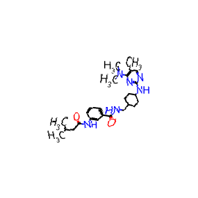 Cc1cnc(NC2CCC(CNC(=O)c3cccc(NC(=O)CC(C)C)c3)CC2)nc1N(C)C